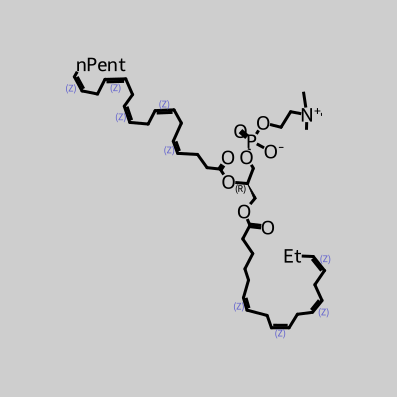 CC/C=C\C/C=C\C/C=C\C/C=C\CCCCC(=O)OC[C@H](COP(=O)([O-])OCC[N+](C)(C)C)OC(=O)CC/C=C\C/C=C\C/C=C\C/C=C\C/C=C\CCCCC